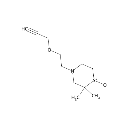 C#CCOCCN1CC[S+]([O-])C(C)(C)C1